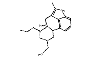 CCCN1CC(CO)CC2c3cccc4[nH]c(C)c(c34)C[C@H]21